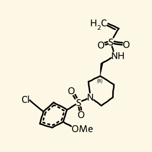 C=CS(=O)(=O)NC[C@H]1CCCN(S(=O)(=O)c2cc(Cl)ccc2OC)C1